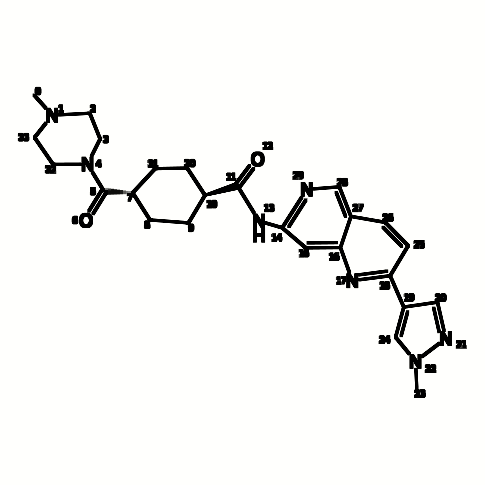 CN1CCN(C(=O)[C@H]2CC[C@H](C(=O)Nc3cc4nc(-c5cnn(C)c5)ccc4cn3)CC2)CC1